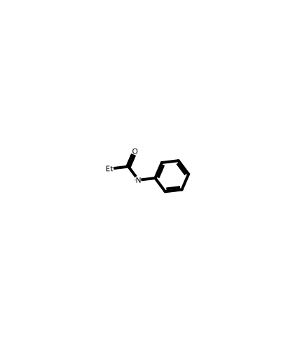 CCC(=O)[N]c1ccccc1